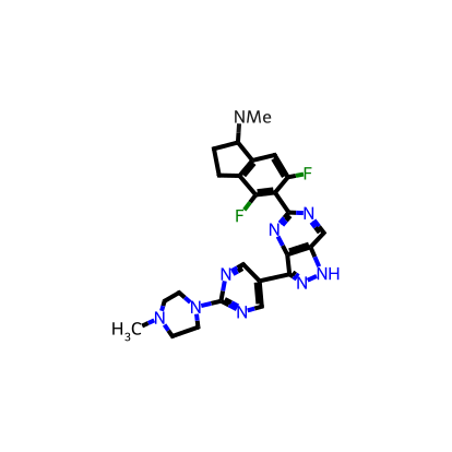 CNC1CCc2c1cc(F)c(-c1ncc3[nH]nc(-c4cnc(N5CCN(C)CC5)nc4)c3n1)c2F